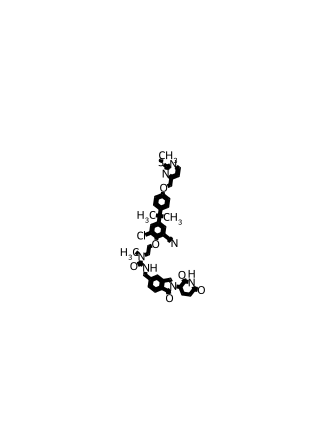 CSc1nccc(COc2ccc(C(C)(C)c3cc(Cl)c(OCCN(C)C(=O)NCc4ccc5c(c4)CN(C4CCC(=O)NC4=O)C5=O)c(C#N)c3)cc2)n1